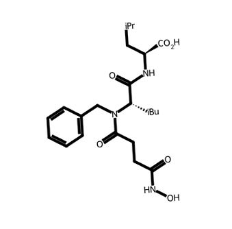 CCC(C)[C@@H](C(=O)N[C@@H](CC(C)C)C(=O)O)N(Cc1ccccc1)C(=O)CCC(=O)NO